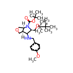 COc1ccc(CNC2[C@H]3COC[C@H]3N(C(=O)OC(C)(C)C)[C@H]2CO[Si](C)(C)C(C)(C)C)cc1